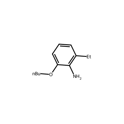 CCCCOc1cccc(CC)c1N